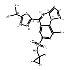 CC1(NS(=O)(=O)c2cc(F)c3c(c2)c(-c2nnc(C(F)F)s2)nc2ccnn23)CC1